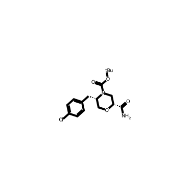 CC(C)(C)OC(=O)N1C[C@H](C(N)=O)OC[C@@H]1Cc1ccc(Cl)cc1